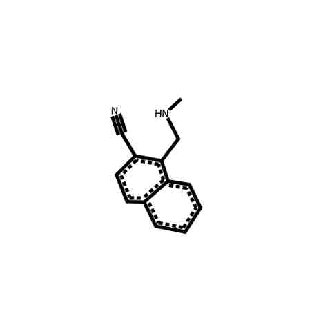 CNCc1c(C#N)ccc2ccccc12